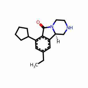 CCc1cc(C2CCCC2)c2c(c1)[C@@H]1CNCCN1C2=O